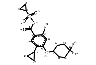 O=C(NS(=O)(=O)C1CC1)c1cc(C2CC2)c(OC2CCC(F)(F)CC2)cc1F